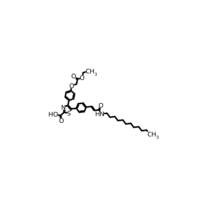 CCCCCCCCCCCCNC(=O)C=Cc1ccc(-c2sc(C(=O)O)nc2-c2ccc(OCC(=O)OCC)cc2)cc1